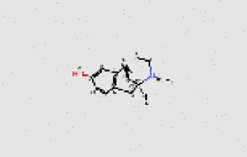 CN1CC[C@@]23CCCCC2[C@@H]1Cc1ccc(O)cc13